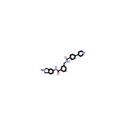 CN1Cc2ccc(NC(=O)c3cccc(CNC(=O)c4ccc(-c5ccncc5)cc4)c3)cc2C1